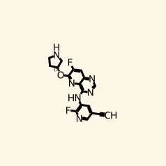 C#Cc1cnc(F)c(Nc2ncnc3cc(F)c(O[C@H]4CCNC4)nc23)c1